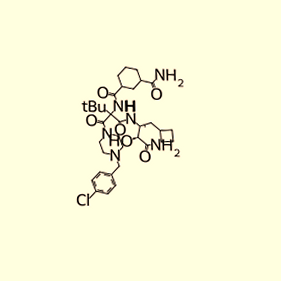 CC(C)(C)C(NC(=O)C1CCCC(C(N)=O)C1)(C(=O)N[C](CC1CCC1)[C@H](O)C(N)=O)C(=O)N1CCN(Cc2ccc(Cl)cc2)CC1